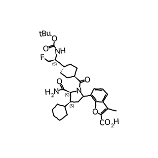 Cc1c(C(=O)O)oc2c(C3C[C@@H](C4CCCCC4)[C@@H](C(N)=O)N3C(=O)[C@H]3CC[C@H]([C@@H](CF)NC(=O)OC(C)(C)C)CC3)cccc12